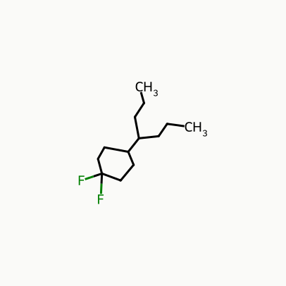 CCCC(CCC)C1CCC(F)(F)CC1